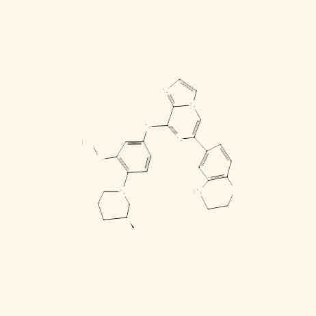 COc1cc(Nc2nc(-c3ccc4c(c3)NCCO4)cn3ccnc23)ccc1N1CCC[C@H](O)C1